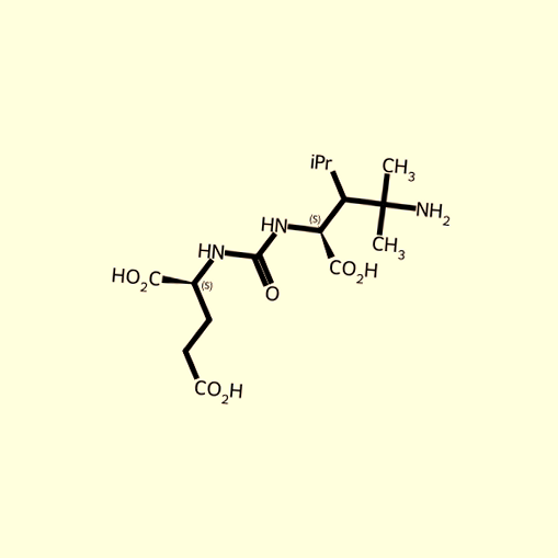 CC(C)C([C@H](NC(=O)N[C@@H](CCC(=O)O)C(=O)O)C(=O)O)C(C)(C)N